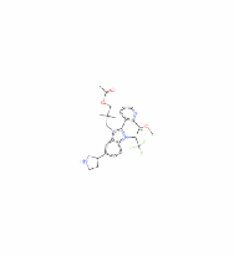 CO[C@@H](C)c1ncccc1-c1c(CC(C)(C)COC(C)=O)c2cc(C3CCNC3)ccc2n1CC(F)(F)F